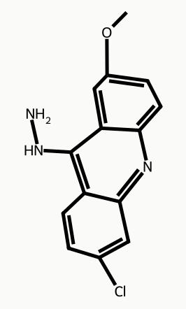 COc1ccc2nc3cc(Cl)ccc3c(NN)c2c1